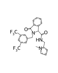 Cn1cccc1CNC(=O)C1c2ccccc2C(=O)N1Cc1cc(C(F)(F)F)cc(C(F)(F)F)c1